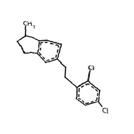 CC1CCc2cc(CCc3ccc(Cl)cc3Cl)ccc21